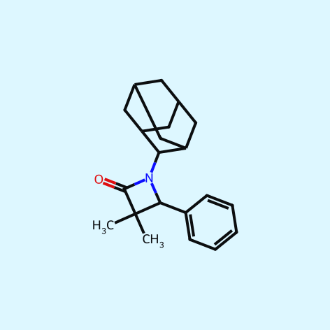 CC1(C)C(=O)N(C2C3CC4CC(C3)CC2C4)C1c1ccccc1